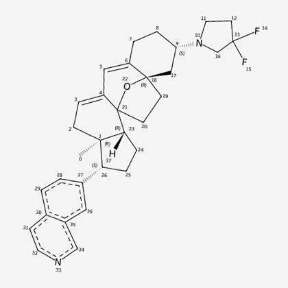 C[C@]12CC=C3C=C4CC[C@H](N5CCC(F)(F)C5)C[C@]45CCC3(O5)[C@@H]1CC[C@@H]2c1ccc2ccncc2c1